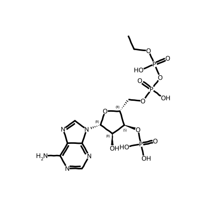 CCOP(=O)(O)OP(=O)(O)OC[C@H]1O[C@@H](n2cnc3c(N)ncnc32)[C@H](O)[C@@H]1OP(=O)(O)O